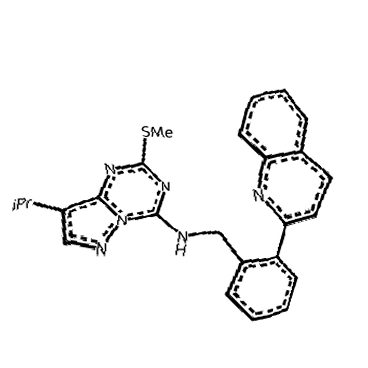 CSc1nc(NCc2ccccc2-c2ccc3ccccc3n2)n2ncc(C(C)C)c2n1